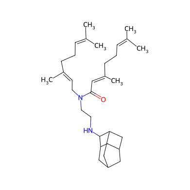 CC(C)=CCC/C(C)=C/CN(CCNC1C2CC3CC(C2)CC1C3)C(=O)/C=C(\C)CCC=C(C)C